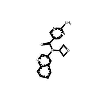 Nc1ncc(C(=O)N(c2cnc3ccccc3c2)C2COC2)cn1